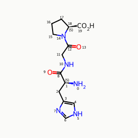 N[C@@H](Cc1c[nH]cn1)C(=O)NCC(=O)N1CCC[C@H]1C(=O)O